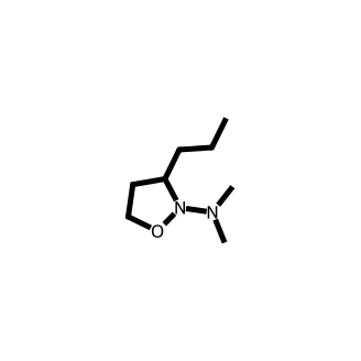 CCCC1CCON1N(C)C